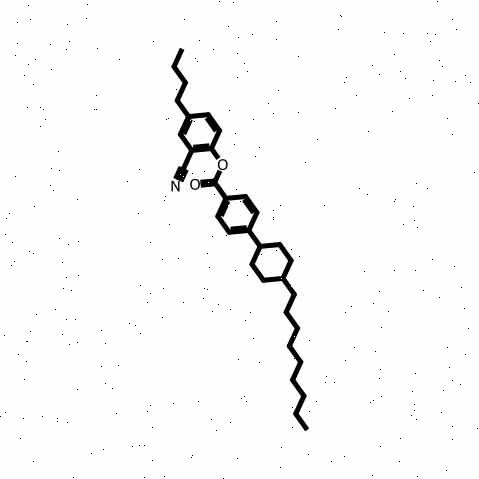 CCCCCCCCCC1CCC(c2ccc(C(=O)Oc3ccc(CCCC)cc3C#N)cc2)CC1